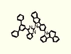 c1ccc(-c2cc(-c3ccccc3)cc(-c3nc(-n4c5cc(-n6c7ccccc7c7c8ccccc8ccc76)ccc5c5cc6ccccc6cc54)nc4ccccc34)c2)cc1